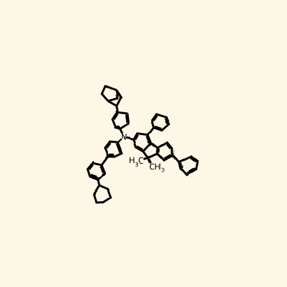 CC1(C)c2cc(-c3ccccc3)ccc2-c2c(-c3ccccc3)cc(N(c3ccc(-c4cccc(C5CCCCC5)c4)cc3)c3ccc(C4CC5CCC4C5)cc3)cc21